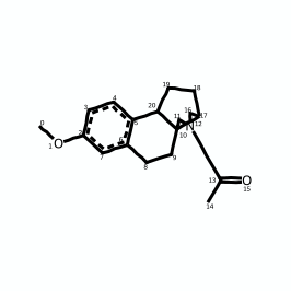 COc1ccc2c(c1)CCC13CN(C(C)=O)CC1CCC23